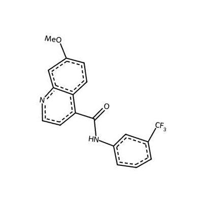 COc1ccc2c(C(=O)Nc3cccc(C(F)(F)F)c3)ccnc2c1